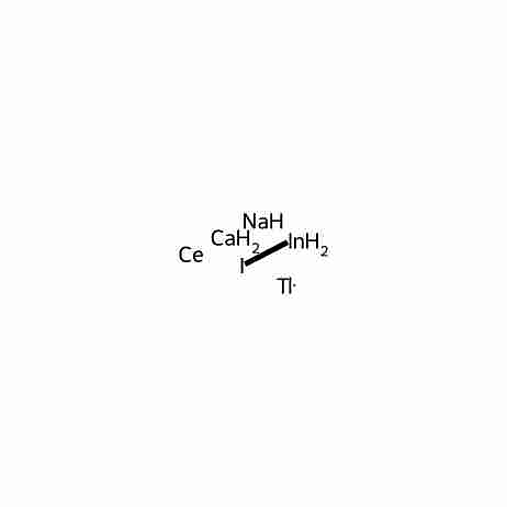 [CaH2].[Ce].[InH2][I].[NaH].[Tl]